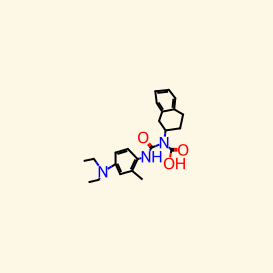 CCN(CC)c1ccc(NC(=O)N(C(=O)O)C2CCc3ccccc3C2)c(C)c1